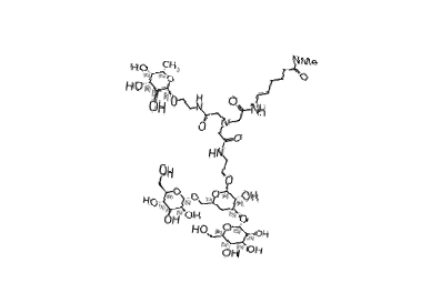 CNC(=O)CCCCCNC(=O)CN(CC(=O)NCCO[C@@H]1O[C@@H](C)[C@@H](O)[C@@H](O)[C@@H]1O)CC(=O)NCCO[C@@H]1O[C@H](CO[C@H]2O[C@H](CO)[C@@H](O)[C@H](O)[C@@H]2O)C[C@H](O[C@H]2O[C@H](CO)[C@@H](O)[C@H](O)[C@@H]2O)[C@H]1O